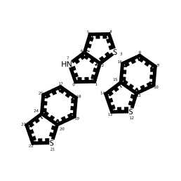 c1cc2sccc2[nH]1.c1ccc2sccc2c1.c1ccc2sccc2c1